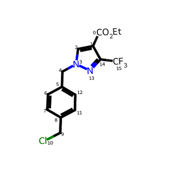 CCOC(=O)c1cn(Cc2ccc(CCl)cc2)nc1C(F)(F)F